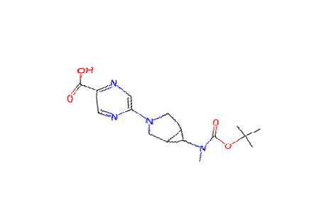 CN(C(=O)OC(C)(C)C)C1C2CN(c3cnc(C(=O)O)cn3)CC21